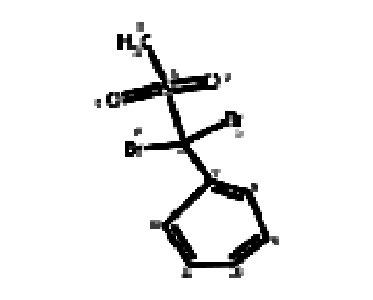 CS(=O)(=O)C(Br)(Br)c1ccccc1